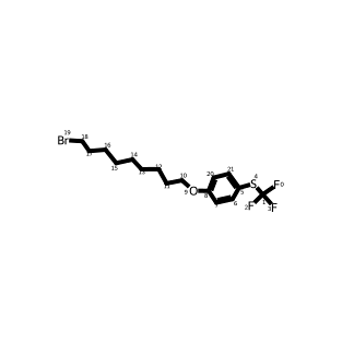 FC(F)(F)Sc1ccc(OCCCCCCCCCBr)cc1